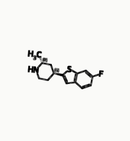 C[C@@H]1C[C@@H](c2cc3ccc(F)cc3s2)CCN1